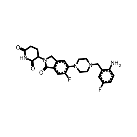 Nc1ccc(F)cc1CN1CCN(c2cc3c(cc2F)C(=O)N(C2CCC(=O)NC2=O)C3)CC1